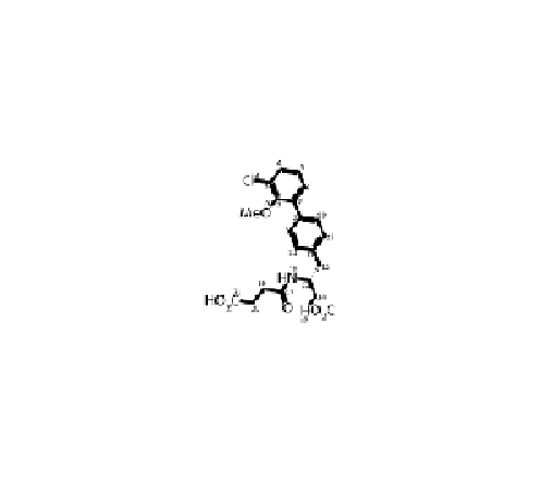 COc1c(Cl)cccc1-c1ccc(C[C@H](CC(=O)O)NC(=O)CCC(=O)O)cc1